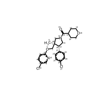 C[C@]1(COc2ccc(Cl)cn2)CN(C(=O)C2CCOCC2)C[C@@H]1c1ccc(Cl)cc1